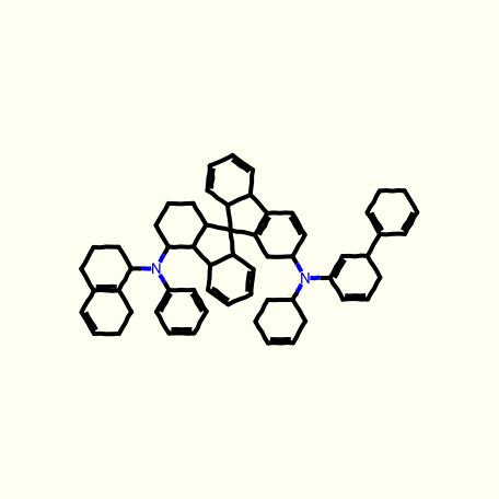 C1=CC2C3=C(CC(N(C4=CC(C5=CCCC=C5)CC=C4)C4CC=CCC4)C=C3)C3(C2C=C1)C1C=CC=CC1C1C(N(c2ccccc2)C2CCCC4=C2CCC=C4)CCCC13